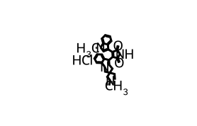 CN1CCC2(Cc3c(C4=C(c5cn(C)c6ccccc56)C(=O)NC4=O)c4ccccc4n3C2)C1.Cl